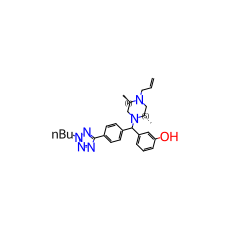 C=CCN1C[C@H](C)N(C(c2ccc(-c3nnn(CCCC)n3)cc2)c2cccc(O)c2)C[C@H]1C